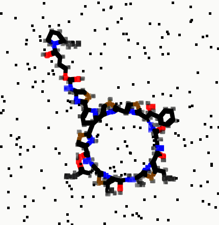 CNC(=O)C[C@@H]1NC(=O)c2csc(n2)-c2ccc(-c3nc(NC(=O)OCCCC(=O)N4CCC[C@H]4C(=O)O)cs3)nc2-c2csc(n2)-c2csc(n2)[C@H]([C@@H](O)c2ccccc2)NC(=O)CNC(=O)c2nc(sc2COC)[C@H](C(C)C)NC(=O)c2nc1sc2C